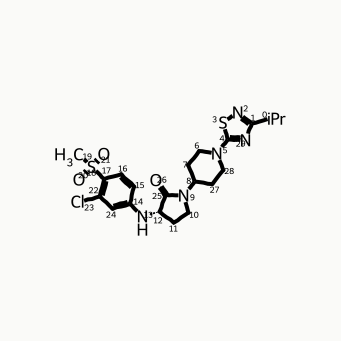 CC(C)c1nsc(N2CCC(N3CC[C@H](Nc4ccc(S(C)(=O)=O)c(Cl)c4)C3=O)CC2)n1